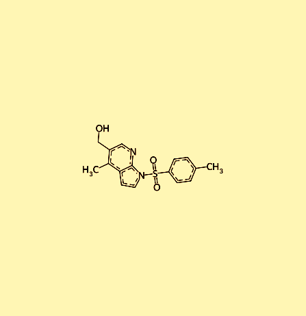 Cc1ccc(S(=O)(=O)n2ccc3c(C)c(CO)cnc32)cc1